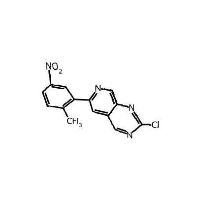 Cc1ccc([N+](=O)[O-])cc1-c1cc2cnc(Cl)nc2cn1